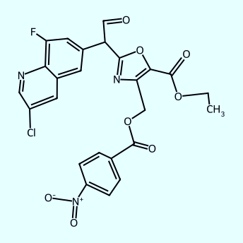 CCOC(=O)c1oc(C(C=O)c2cc(F)c3ncc(Cl)cc3c2)nc1COC(=O)c1ccc([N+](=O)[O-])cc1